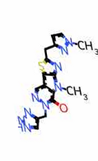 Cn1ccc(Cc2nc3c(s2)c2cnn(Cc4c[nH]nn4)c(=O)c2n3C)n1